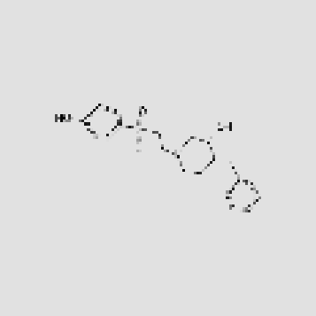 O=S(=O)(CCN1CC[C@@H](Cc2ccccc2)[C@@H](O)C1)c1ccc(O)cc1